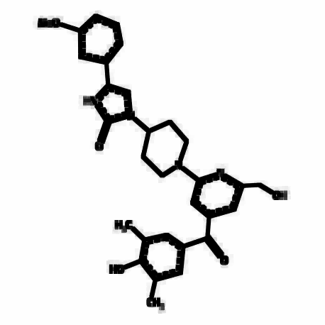 COc1cccc(-c2cn(C3CCN(c4cc(C(=O)c5cc(C)c(O)c(C)c5)cc(CO)n4)CC3)c(=O)[nH]2)c1